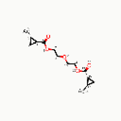 CC(=O)[C@H]1C[C@@H]1C(=O)OCCOCCOC(=O)[C@@H]1C[C@H]1C(C)=O